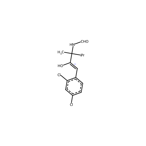 CC(C)C(C)(NC=O)/C(O)=C/c1ccc(Cl)cc1Cl